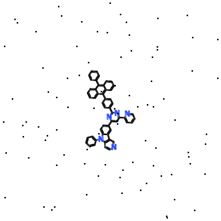 c1ccc(-c2c3ccccc3c(-c3ccc(-c4nc(-c5ccc6c(c5)c5cnccc5n6-c5ccccc5)cc(-c5ccccn5)n4)cc3)c3ccccc23)cc1